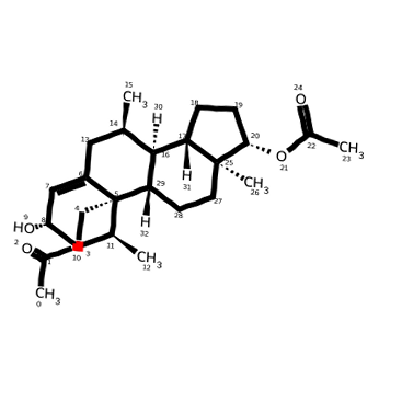 CC(=O)OC[C@@]12C(=C[C@@H](O)C[C@@H]1C)C[C@@H](C)[C@H]1[C@@H]3CC[C@H](OC(C)=O)[C@@]3(C)CC[C@@H]12